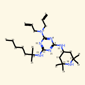 C=CCN(CC=C)c1nc(NC2CC(C)(C)NC(C)(C)C2)nc(NC(C)(C)CCCCC)n1